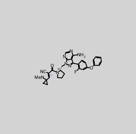 CNC1(/C=C(\C#N)C(=O)N2CCC[C@H]2Cn2nc(-c3ccc(Oc4ccccc4)cc3F)c3c(N)ncnc32)CC1